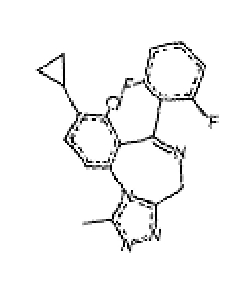 Cc1nnc2n1-c1ccc(C3CC3)c(Cl)c1C(c1c(F)cccc1F)=NC2